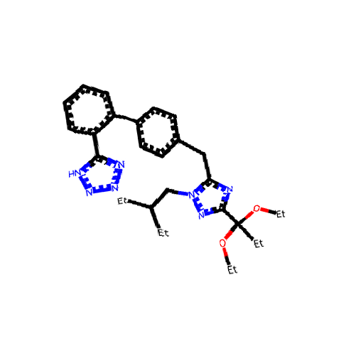 CCOC(CC)(OCC)c1nc(Cc2ccc(-c3ccccc3-c3nnn[nH]3)cc2)n(CC(CC)CC)n1